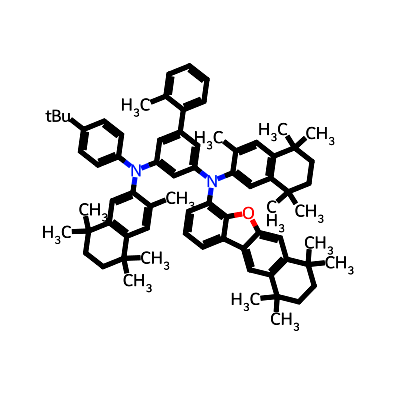 Cc1ccccc1-c1cc(N(c2ccc(C(C)(C)C)cc2)c2cc3c(cc2C)C(C)(C)CCC3(C)C)cc(N(c2cc3c(cc2C)C(C)(C)CCC3(C)C)c2cccc3c2oc2cc4c(cc23)C(C)(C)CCC4(C)C)c1